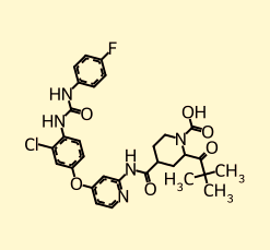 CC(C)(C)C(=O)C1CC(C(=O)Nc2cc(Oc3ccc(NC(=O)Nc4ccc(F)cc4)c(Cl)c3)ccn2)CCN1C(=O)O